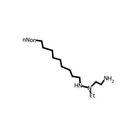 CCCCCCCCCCCCCCCCCCNN(CC)CCN